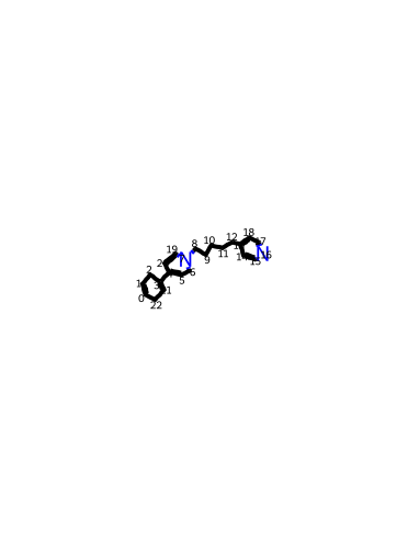 C1=CCC(C2=CCN(CCCCCc3ccncc3)C=C2)=CC1